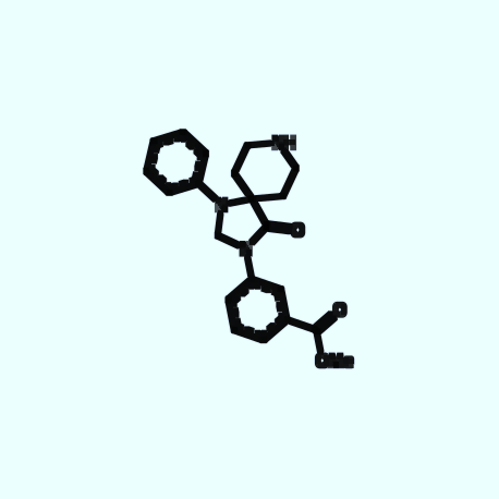 COC(=O)c1cccc(N2CN(c3ccccc3)C3(CCNCC3)C2=O)c1